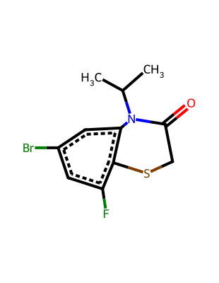 CC(C)N1C(=O)CSc2c(F)cc(Br)cc21